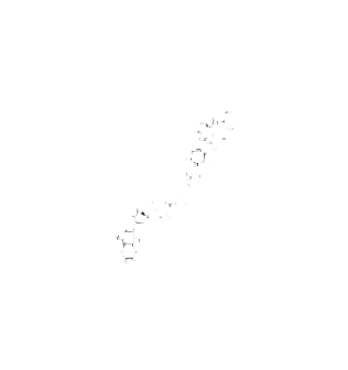 O=C(CC1CC1N1CCC(n2cc(-c3cnc4ccccc4n3)cn2)CC1)NCc1ccc2c(c1)CN(C1CCC(=O)NC1=O)C2=O